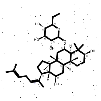 CC[C@H]1OC(O[C@H]2C[C@]3(C)[C@H](C[C@@H](O)[C@@H]4[C@@H](/C(C)=C\CC=C(C)C)CC[C@]43C)[C@@]3(C)CC[C@H](O)C(C)(C)[C@H]23)[C@H](O)[C@@H](O)[C@@H]1O